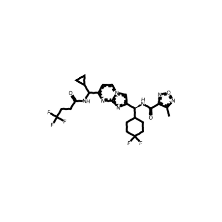 Cc1nonc1C(=O)N[C@H](c1cn2ccc(C(NC(=O)CCC(F)(F)F)C3CC3)nc2n1)C1CCC(F)(F)CC1